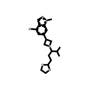 CC(C)C(CCC1OCCO1)N1CC(c2cc(Cl)c3cnn(C)c3c2)C1